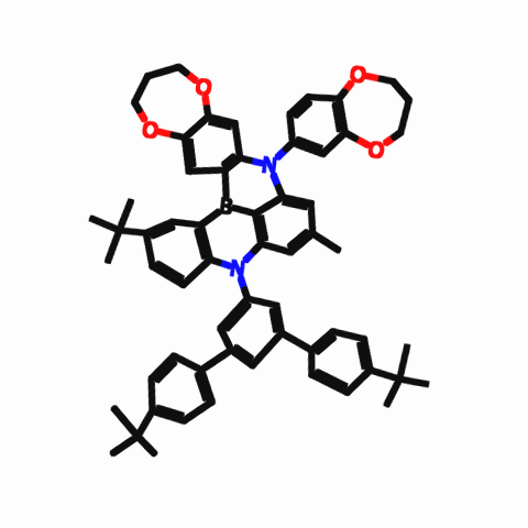 Cc1cc2c3c(c1)N(c1ccc4c(c1)OCCCO4)c1cc4c(cc1B3c1cc(C(C)(C)C)ccc1N2c1cc(-c2ccc(C(C)(C)C)cc2)cc(-c2ccc(C(C)(C)C)cc2)c1)OCCCO4